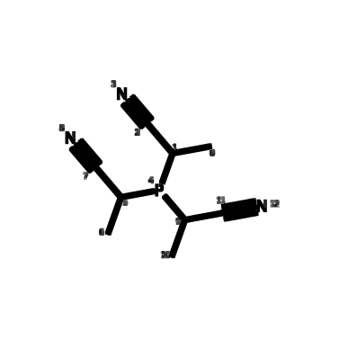 CC(C#N)P(C(C)C#N)C(C)C#N